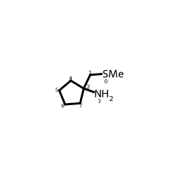 CSCC1(N)CCCC1